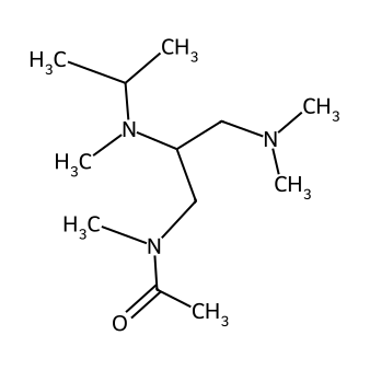 CC(=O)N(C)CC(CN(C)C)N(C)C(C)C